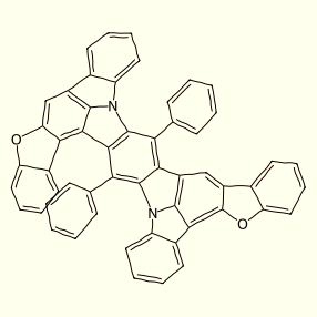 c1ccc(-c2c3c4c5c(cc6c7ccccc7n(c3c(-c3ccccc3)c3c7cc8c9ccccc9oc8c8c9ccccc9n(c23)c78)c64)oc2ccccc25)cc1